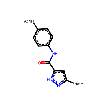 CNc1cc(C(=O)Nc2ccc(NC(C)=O)cc2)[nH]n1